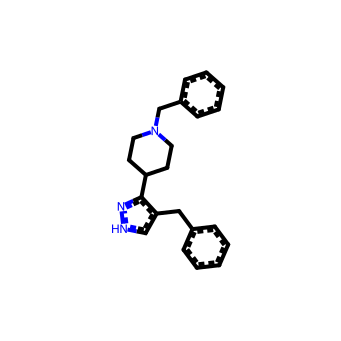 c1ccc(Cc2c[nH]nc2C2CCN(Cc3ccccc3)CC2)cc1